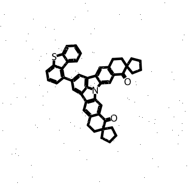 O=C1c2cc3c(cc2CCC12CCCC2)c1cc(-c2cccc4sc5ccccc5c24)cc2c4cc5c(cc4n3c12)C(=O)C1(CCCC1)CC5